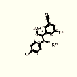 CC(c1ccc(Cl)cc1)C(CN)c1cc(F)cc(C#N)c1.Cl